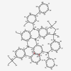 Cc1cc2c3c(c1)N(c1ccc(C(C)(C)C)cc1-c1ccccc1)c1ccc(N(c4ccccc4)c4ccccc4)cc1B3c1cc3c(cc1N2c1cc(-c2ccccc2)ccc1C)C(C)(C)CC3(C)C